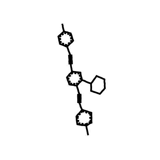 Cc1ccc(C#Cc2ccc(C#Cc3ccc(C)cc3)c(C3CCCCC3)c2)cc1